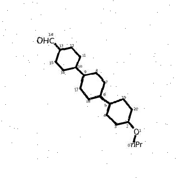 CCCOC1CCC(C2CCC(C3CCC(C=O)CC3)CC2)CC1